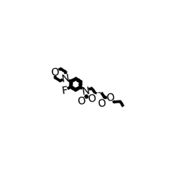 CCCOC(=O)C[C@H]1CN(c2ccc(N3CCOCC3)c(F)c2)C(=O)O1